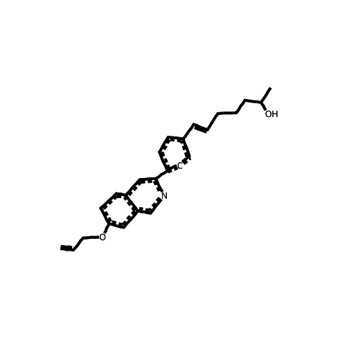 C=CCOc1ccc2cc(-c3ccc(C=CCCCC(C)O)cc3)ncc2c1